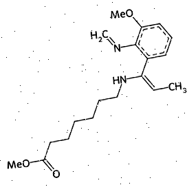 C=Nc1c(OC)cccc1/C(=C\C)NCCCCCCC(=O)OC